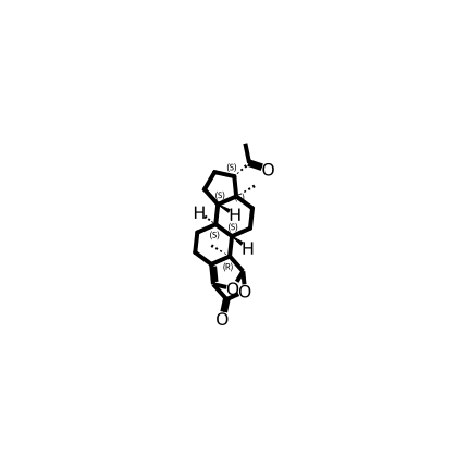 CC(=O)[C@H]1CC[C@H]2[C@@H]3CCC4=C5OC(OC5=O)[C@]4(C)[C@H]3CC[C@]12C